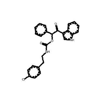 O=C(NCCc1ccc(Cl)cc1)OC(C(=O)c1c[nH]c2ccccc12)c1ccccc1